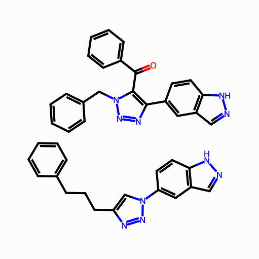 O=C(c1ccccc1)c1c(-c2ccc3[nH]ncc3c2)nnn1Cc1ccccc1.c1ccc(CCCc2cn(-c3ccc4[nH]ncc4c3)nn2)cc1